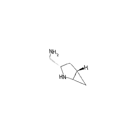 NC[C@@H]1C[C@@H]2CC2N1